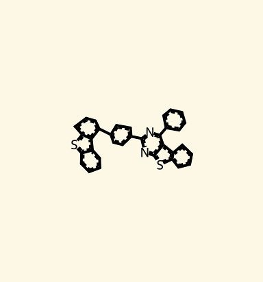 c1ccc(-c2nc(-c3ccc(-c4cccc5sc6ccccc6c45)cc3)nc3sc4ccccc4c23)cc1